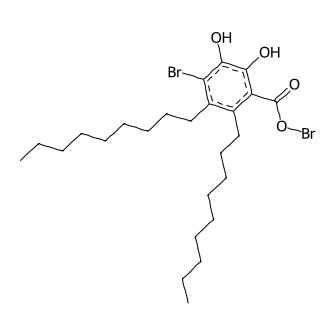 CCCCCCCCCc1c(Br)c(O)c(O)c(C(=O)OBr)c1CCCCCCCCC